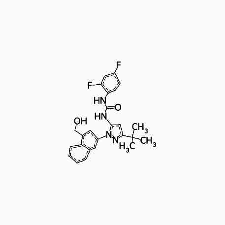 CC(C)(C)c1cc(NC(=O)Nc2ccc(F)cc2F)n(-c2cc(CO)c3ccccc3c2)n1